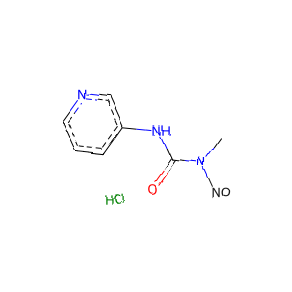 CN(N=O)C(=O)Nc1cccnc1.Cl